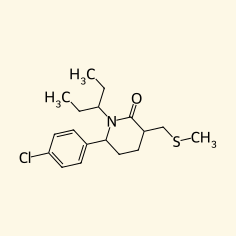 CCC(CC)N1C(=O)C(CSC)CCC1c1ccc(Cl)cc1